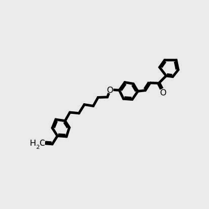 C=Cc1ccc(CCCCCCOc2ccc(/C=C/C(=O)c3ccccc3)cc2)cc1